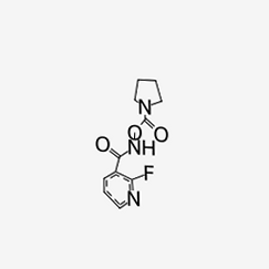 O=C(NOC(=O)N1CCCC1)c1cccnc1F